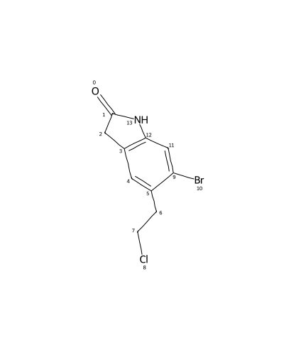 O=C1Cc2cc(CCCl)c(Br)cc2N1